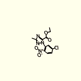 CCOC(=O)c1nc(C)nn1-c1cc(Cl)ccc1[N+](=O)[O-]